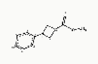 COC(=O)C1CN(c2ccncc2)C1